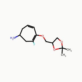 CC1(C)OCC(COC2=C(F)CC(N)CC=C2)O1